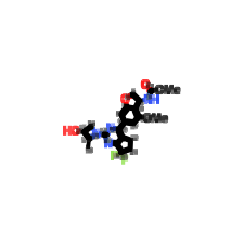 COC(=O)N[C@@H]1COc2cc(-c3nc(N4C[C@@H](O)[C@@H]4C)nc4c3CCC4(F)F)cc(OC)c21